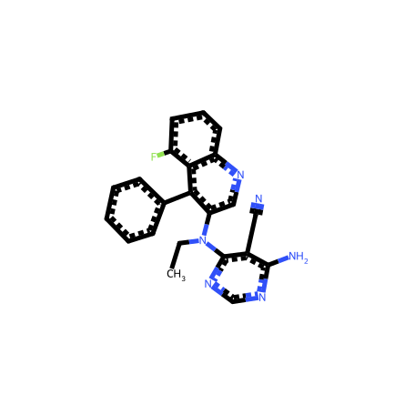 CCN(c1cnc2cccc(F)c2c1-c1ccccc1)c1ncnc(N)c1C#N